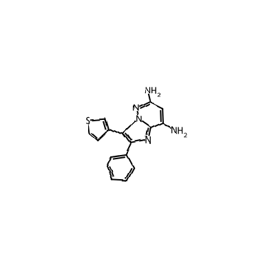 Nc1cc(N)c2nc(-c3ccccc3)c(-c3ccsc3)n2n1